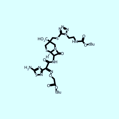 CC(C)(C)OC(=O)CON=C(C(=O)NC1C(=O)N2CC(CSc3nnnn3CCNC(=O)OC(C)(C)C)(C(=O)O)CS[C@H]12)c1nsc(N)n1